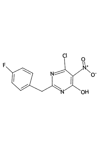 O=[N+]([O-])c1c(O)nc(Cc2ccc(F)cc2)nc1Cl